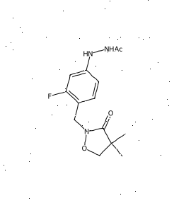 CC(=O)NNc1ccc(CN2OCC(C)(C)C2=O)c(F)c1